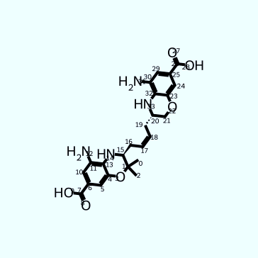 CC1(C)Oc2cc(C(=O)O)cc(N)c2N[C@H]1C/C=C\C[C@H]1COc2cc(C(=O)O)cc(N)c2N1